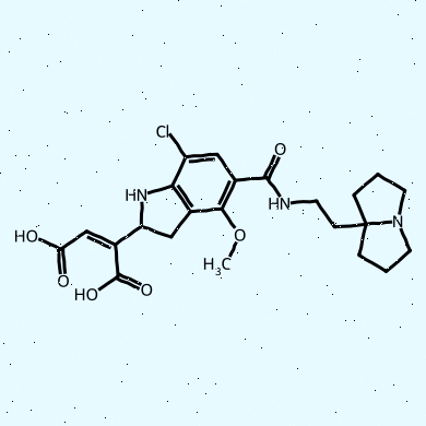 COc1c(C(=O)NCCC23CCCN2CCC3)cc(Cl)c2c1CC(/C(=C/C(=O)O)C(=O)O)N2